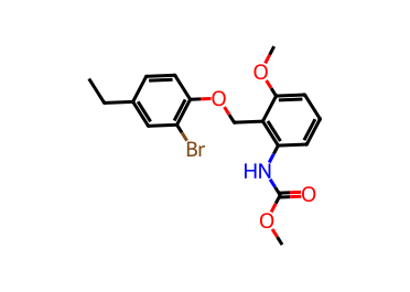 CCc1ccc(OCc2c(NC(=O)OC)cccc2OC)c(Br)c1